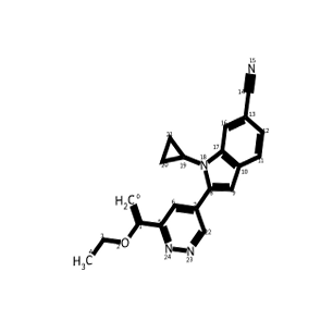 C=C(OCC)c1cc(-c2cc3ccc(C#N)cc3n2C2CC2)cnn1